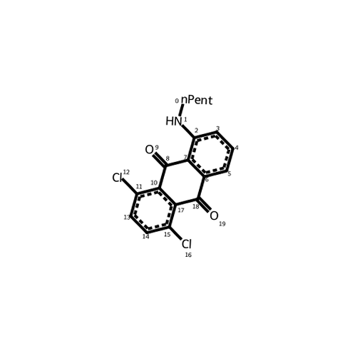 CCCCCNc1cccc2c1C(=O)c1c(Cl)ccc(Cl)c1C2=O